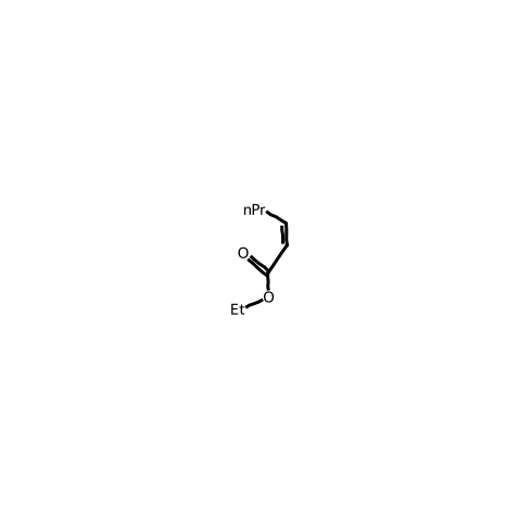 CCC/C=C\C(=O)OCC